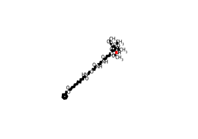 CC(=O)N[C@H]1[C@H](OCCCCC(=O)NCCCNC(=O)CCOCCNC(=O)CCCCCCCCCCC(=O)OCc2ccccc2)O[C@H](COC(C)=O)[C@H](OC(C)=O)[C@@H]1OC(C)=O